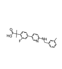 Cc1cccc(CNc2ccc(-c3ccc(C(C)(C)C(=O)O)c(F)c3)cn2)c1